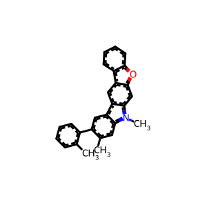 Cc1ccccc1-c1cc2c3cc4c(cc3n(C)c2cc1C)oc1ccccc14